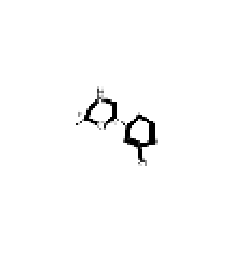 C[C@@H]1CNC[C@H](C2C=C(Cl)C=CC2)O1